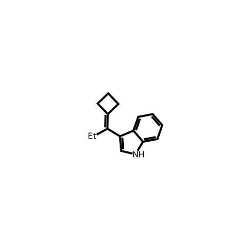 CCC(=C1CCC1)c1c[nH]c2ccccc12